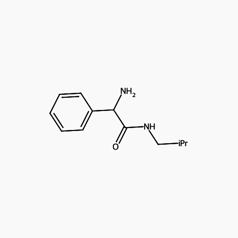 CC(C)CNC(=O)C(N)c1ccccc1